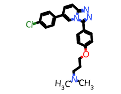 CN(C)CCCOc1ccc(-c2nnc3ccc(-c4ccc(Cl)cc4)cn23)cc1